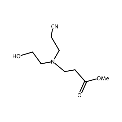 COC(=O)CCN(CCO)CCC#N